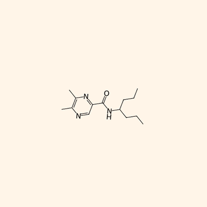 CCCC(CCC)NC(=O)c1cnc(C)c(C)n1